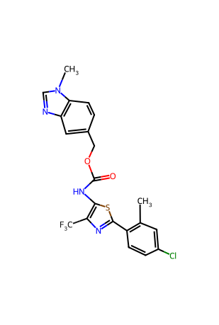 Cc1cc(Cl)ccc1-c1nc(C(F)(F)F)c(NC(=O)OCc2ccc3c(c2)ncn3C)s1